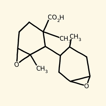 CC1CC2OC2CC1C1C(C)(C(=O)O)CCC2OC21C